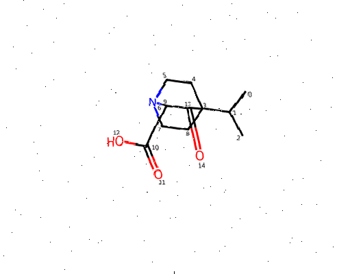 CC(C)C12CCN(CC1)C(C(=O)O)C2=O